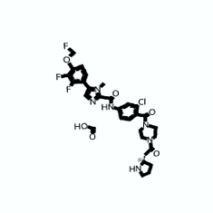 Cn1c(-c2ccc(OCF)c(F)c2F)cnc1C(=O)Nc1ccc(C(=O)N2CCN(C(=O)C[C@@H]3CCCN3)CC2)c(Cl)c1.O=CO